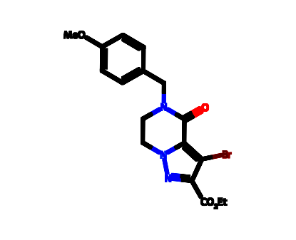 CCOC(=O)c1nn2c(c1Br)C(=O)N(Cc1ccc(OC)cc1)CC2